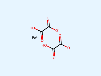 O=C([O-])C(=O)O.O=C([O-])C(=O)O.[Fe+2]